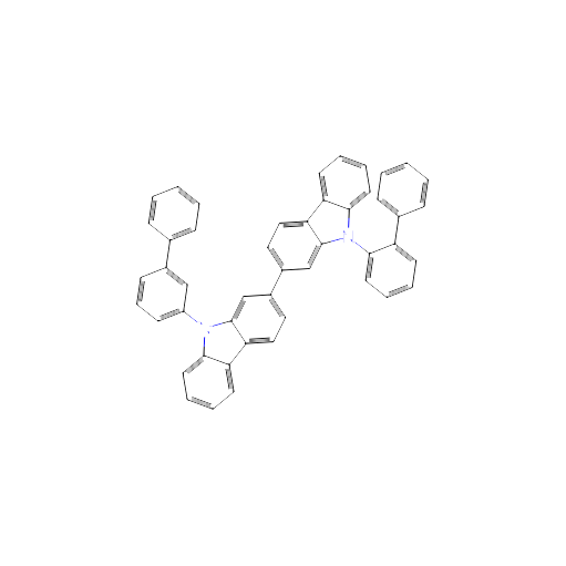 c1ccc(-c2cccc(-n3c4ccccc4c4ccc(-c5ccc6c7ccccc7n(-c7ccccc7-c7ccccc7)c6c5)cc43)c2)cc1